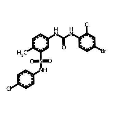 Cc1ccc(NC(=O)Nc2ccc(Br)cc2Cl)cc1S(=O)(=O)Nc1ccc(Cl)cc1